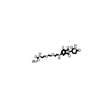 CC(C)(C)OC(=O)NCCOCCOCCNc1cc(F)c2c(c1)C(=O)N(C1CCC(=O)NC1=O)C2=O